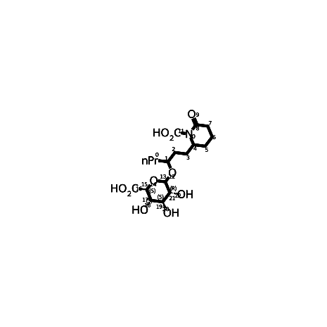 CCCC(CCC1CCCC(=O)N1C(=O)O)OC1O[C@H](C(=O)O)[C@@H](O)[C@H](O)[C@H]1O